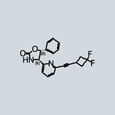 O=C1N[C@H](c2cccc(C#CC3CC(F)(F)C3)n2)[C@@H](c2ccccc2)O1